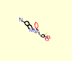 N#Cc1ccc2cc(N3CCN(CCc4ccc([N+](=O)[O-])c(F)c4)CC3=O)ncc2c1